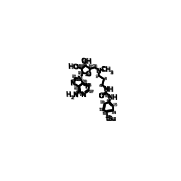 CN(CCCNC(=O)Nc1ccc(C(C)(C)C)cc1)CC1O[C@@H](n2cnc3c(N)ncnc32)C(O)[C@@H]1O